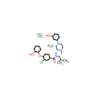 CC(C)[C@@H](CN1CCN(c2cccc(O)c2)[C@@H](C)C1)NC(=O)c1ccc(Oc2ccccc2O)c(Cl)c1.Cl.Cl